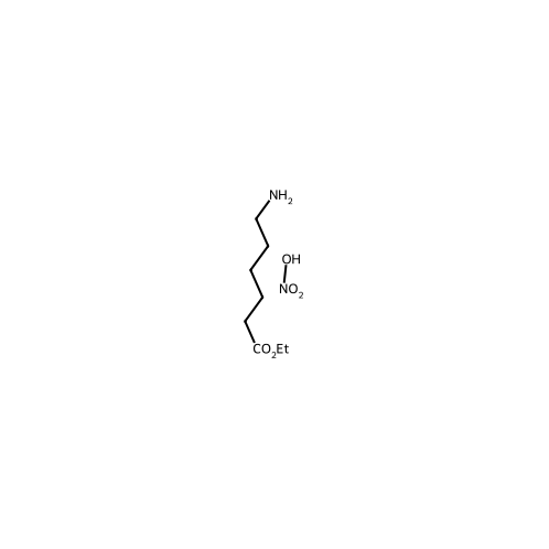 CCOC(=O)CCCCCN.O=[N+]([O-])O